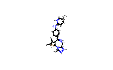 Cc1sc2c(c1C)C(c1ccc(Nc3ccc(C#N)cn3)cc1)=NCc1nnc(C)n1-2